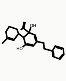 C=C(C)C1(O)C=C(CCc2ccccc2)C=C(O)C1C1C=C(C)CCC1